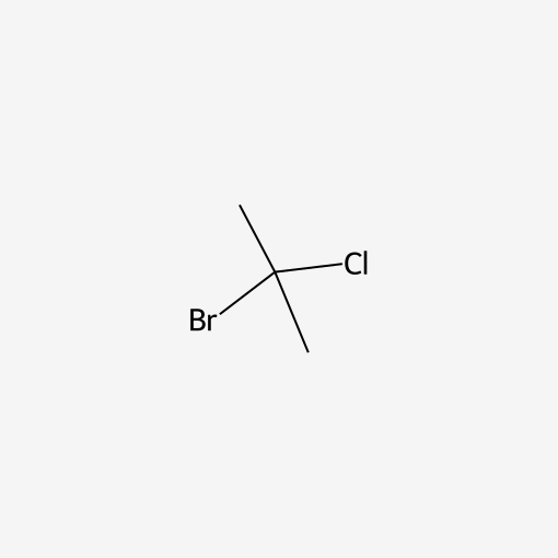 CC(C)(Cl)Br